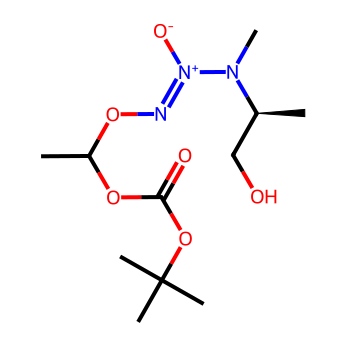 CC(ON=[N+]([O-])N(C)[C@@H](C)CO)OC(=O)OC(C)(C)C